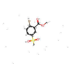 COC(=O)c1cc(S(C)(=O)=O)ccc1Br